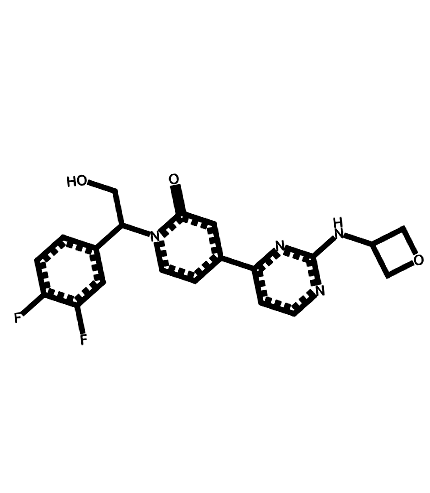 O=c1cc(-c2ccnc(NC3COC3)n2)ccn1C(CO)c1ccc(F)c(F)c1